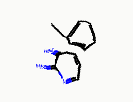 Cc1ccccc1.N=C1C=CC=NC1=N